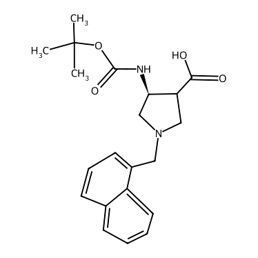 CC(C)(C)OC(=O)N[C@@H]1CN(Cc2cccc3ccccc23)CC1C(=O)O